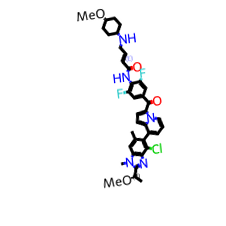 COC1CCC(NC/C=C/C(=O)Nc2c(F)cc(C(=O)c3ccc4c(-c5c(C)cc6c(nc([C@@H](C)OC)n6C)c5Cl)cccn34)cc2F)CC1